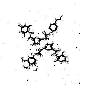 CCCc1ccc(NC(=O)Nc2nc(C)c(C(=O)Nc3c(C)cc(C)cc3C)s2)cc1.COc1cc(NC(=O)Nc2nc(C)c(C(=O)Nc3c(C)cc(C)cc3C)s2)cc(OC)c1OC